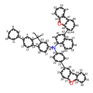 CC1(C)c2cc(-c3ccccc3)ccc2-c2ccc(N(c3ccc(-c4ccc5oc6ccccc6c5c4)cc3)c3ccc(-c4cccc5c4oc4ccccc45)c4ccccc34)cc21